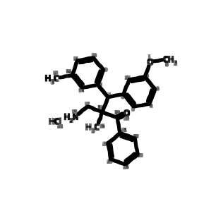 COc1cccc(C(c2cccc(C)c2)C(C)(CN)C(=O)c2ccccc2)c1.Cl